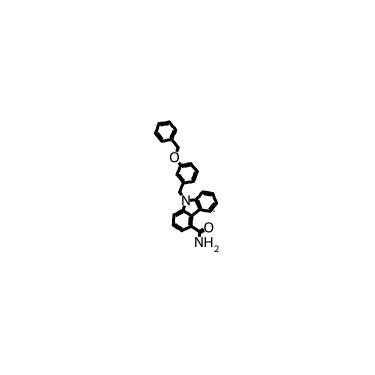 NC(=O)c1cccc2c1c1[c]cccc1n2Cc1cccc(OCc2ccccc2)c1